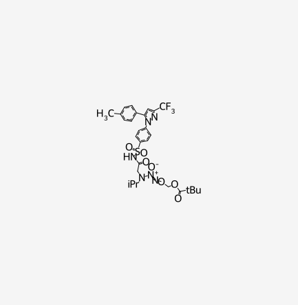 Cc1ccc(-c2cc(C(F)(F)F)nn2-c2ccc(S(=O)(=O)NC(=O)CN(C(C)C)[N+]([O-])=NOCOC(=O)C(C)(C)C)cc2)cc1